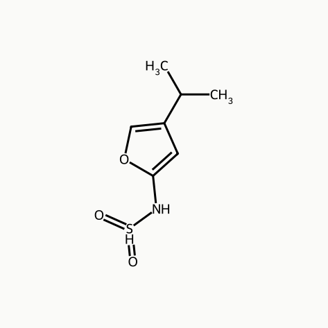 CC(C)c1coc(N[SH](=O)=O)c1